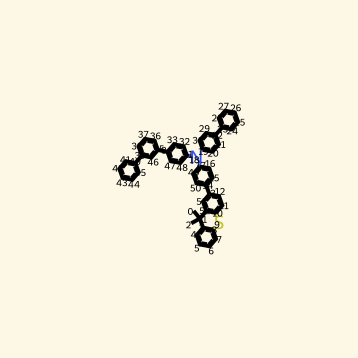 CC1(C)c2ccccc2Sc2ccc(-c3ccc(N(c4ccc(-c5ccccc5)cc4)c4ccc(-c5cccc(-c6ccccc6)c5)cc4)cc3)cc21